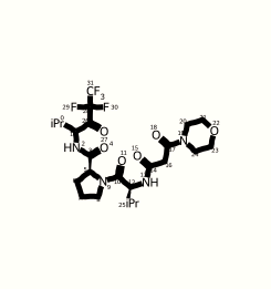 CC(C)C(NC(=O)[C@@H]1CCCN1C(=O)[C@@H](NC(=O)CC(=O)N1CCOCC1)C(C)C)C(=O)C(F)(F)C(F)(F)F